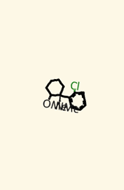 CN[C@]1(c2ccccc2Cl)CCCCC1OC